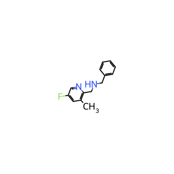 Cc1cc(F)cnc1CNCc1ccccc1